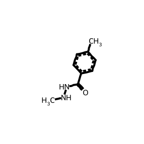 CNNC(=O)c1ccc(C)cc1